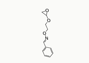 C(=NOCCOC1CO1)c1ccccc1